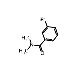 CC(C)c1cccc(C(=O)N(C)C)c1